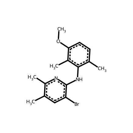 COc1ccc(C)c(Nc2nc(C)c(C)cc2Br)c1C